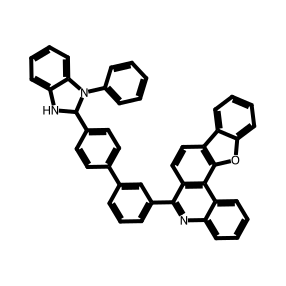 c1ccc(N2c3ccccc3NC2c2ccc(-c3cccc(-c4nc5ccccc5c5c4ccc4c6ccccc6oc45)c3)cc2)cc1